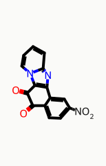 O=C1C(=O)c2c(nc3ccccn23)-c2cc([N+](=O)[O-])ccc21